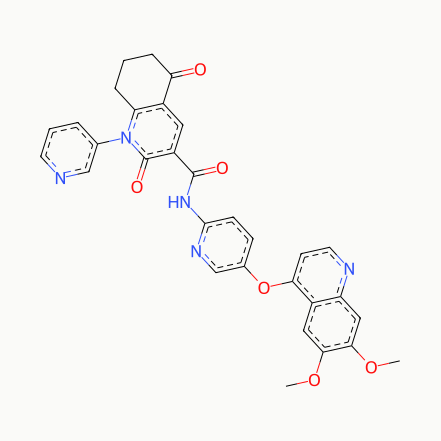 COc1cc2nccc(Oc3ccc(NC(=O)c4cc5c(n(-c6cccnc6)c4=O)CCCC5=O)nc3)c2cc1OC